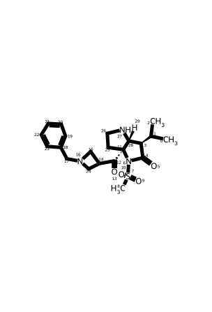 CC(C)[C@H]1C(=O)N(S(C)(=O)=O)[C@@]2(C(=O)C3CN(Cc4ccccc4)C3)CCN[C@H]12